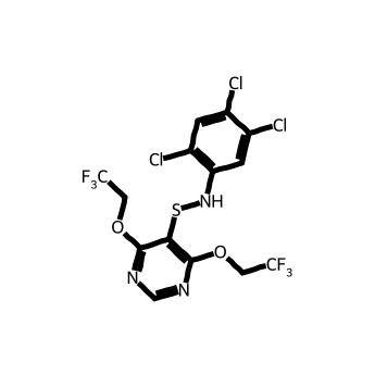 FC(F)(F)COc1ncnc(OCC(F)(F)F)c1SNc1cc(Cl)c(Cl)cc1Cl